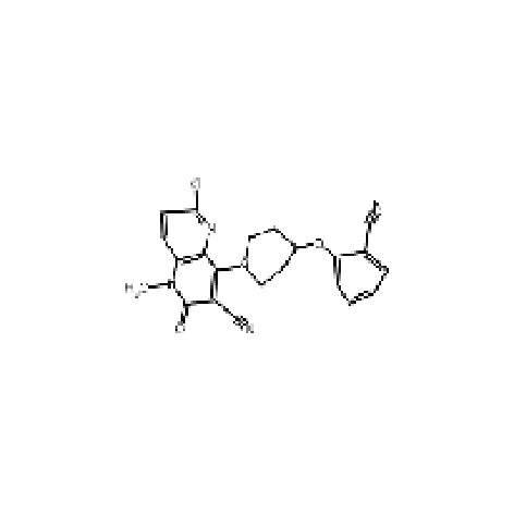 Cn1c(=O)c(C#N)c(N2CCC(Oc3ccccc3C#N)CC2)c2nc(Cl)ccc21